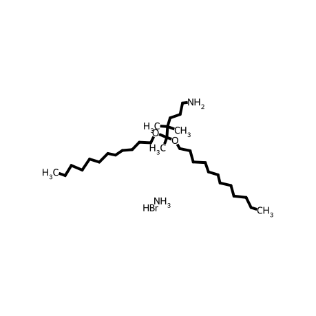 Br.CCCCCCCCCCCCOC(C)(OCCCCCCCCCCCC)C(C)(C)CCCN.N